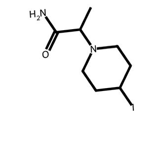 CC(C(N)=O)N1CCC(I)CC1